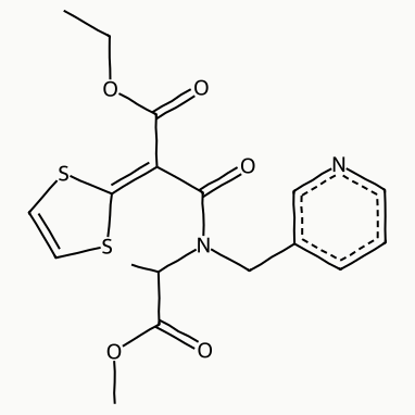 CCOC(=O)C(C(=O)N(Cc1cccnc1)C(C)C(=O)OC)=C1SC=CS1